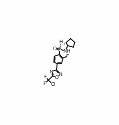 CP(=O)(NC1CCCC1)c1ccc(-c2noc(C(F)(F)Cl)n2)cc1F